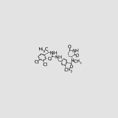 Cc1cc(CNC(=O)NC(C)c2ccc(Cl)c(Cl)c2)ccc1C(=O)N(C)C1CCC(=O)NC1=O